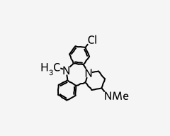 CNC1CCN2c3cc(Cl)ccc3N(C)c3ccccc3C2C1